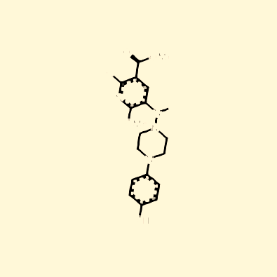 COC(=O)c1cc(N(S)N2CCN(c3ccc(C)cc3)CC2)c(OC)nc1C